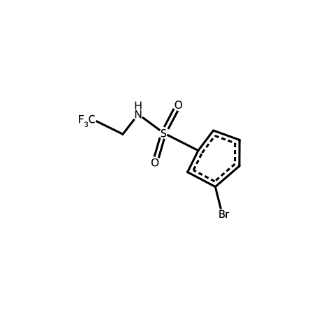 O=S(=O)(NCC(F)(F)F)c1cccc(Br)c1